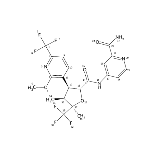 COc1nc(C(F)(F)F)ccc1[C@H]1[C@H](C(=O)Nc2ccnc(C(N)=O)c2)O[C@@](C)(C(F)(F)F)[C@H]1C